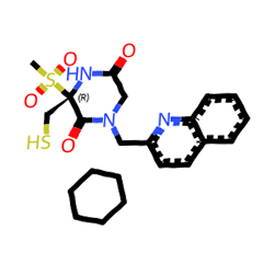 C1CCCCC1.CS(=O)(=O)[C@]1(CS)NC(=O)CN(Cc2ccc3ccccc3n2)C1=O